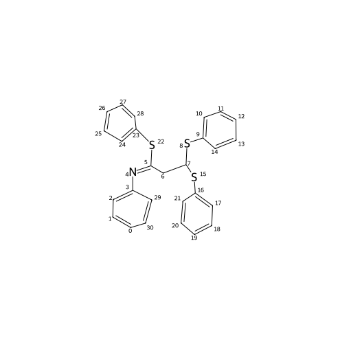 c1ccc(/N=C(\CC(Sc2ccccc2)Sc2ccccc2)Sc2ccccc2)cc1